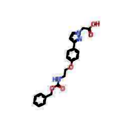 O=C(O)Cn1ccc(-c2ccc(OCCNC(=O)OCc3ccccc3)cc2)n1